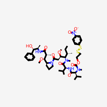 CC[C@H](C)[C@@H]([C@@H](CC(=O)N1CCC[C@H]1[C@H](OC)[C@@H](C)C(=O)N[C@H](C)[C@@H](O)c1ccccc1)OC)N(C)C(=O)[C@@H](NC(=O)[C@H](C(C)C)N(C)C(=O)OCCSSc1ccc([N+](=O)[O-])cc1)C(C)C